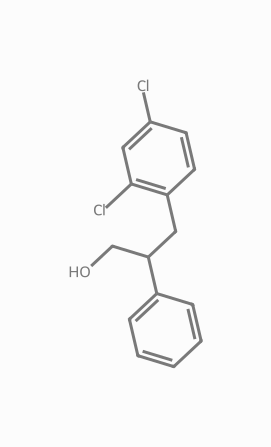 OCC(Cc1ccc(Cl)cc1Cl)c1ccccc1